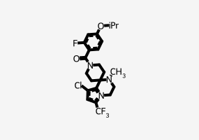 CC(C)Oc1ccc(C(=O)N2CCC3(CC2)c2c(Cl)cc(C(F)(F)F)n2CCN3C)c(F)c1